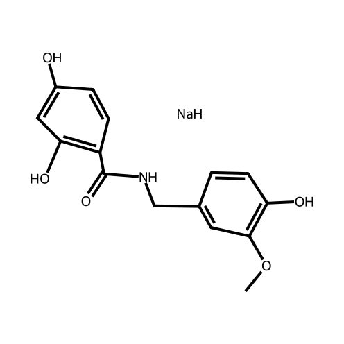 COc1cc(CNC(=O)c2ccc(O)cc2O)ccc1O.[NaH]